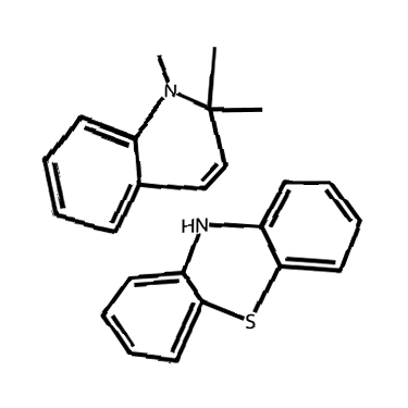 CN1c2ccccc2C=CC1(C)C.c1ccc2c(c1)Nc1ccccc1S2